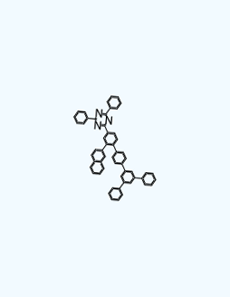 c1ccc(-c2cc(-c3ccccc3)cc(-c3ccc(-c4ccc(-c5nc(-c6ccccc6)nc(-c6ccccc6)n5)cc4-c4ccc5ccccc5c4)cc3)c2)cc1